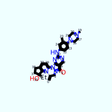 C=CCn1c(=O)c2cnc(Nc3ccc(N4CCN(C)CC4)c(C)c3)nc2n1-c1ccc2c(n1)C(O)(CC)CC2